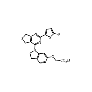 CCOC(=O)COc1ccc2c(c1)N(c1nc(-c3ccc(F)s3)nc3c1CSC3)CC2